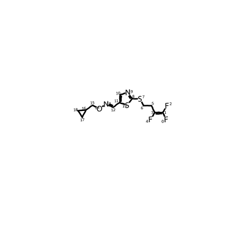 FC(F)=C(F)CCSc1ncc(/C=N/OCC2CC2)s1